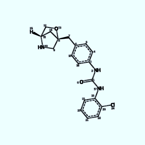 O=C(Nc1ccc(C[C@]23CN[C@H](CO2)C3)cc1)Nc1ccccc1Cl